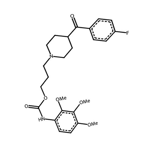 COc1ccc(NC(=O)OCCCN2CCC(C(=O)c3ccc(F)cc3)CC2)c(OC)c1OC